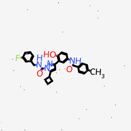 Cc1ccc(C(=O)Nc2ccc(O)c(-c3cc(C4CCC4)n(C(=O)NCc4cccc(F)c4)n3)c2)cc1